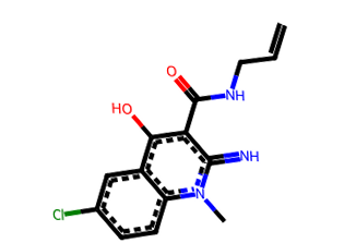 C=CCNC(=O)c1c(O)c2cc(Cl)ccc2n(C)c1=N